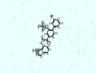 CN(Cc1cccc2cn[nH]c12)C(=O)c1ccc(-c2cccc(F)c2)c(OC(F)(F)F)c1